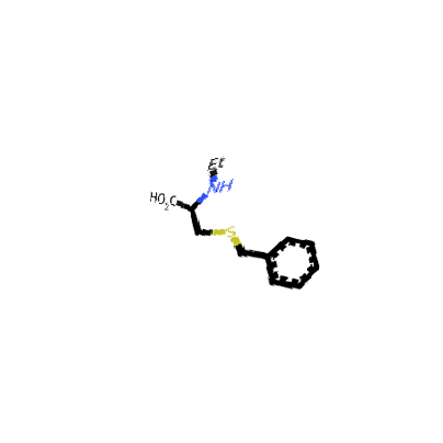 CCNC(CSCc1ccccc1)C(=O)O